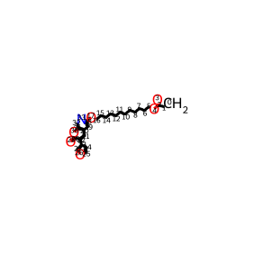 C=CC(=O)OCCCCCCCCCCCCOc1cc2cc(-c3ccoc3)c(=O)oc2cn1